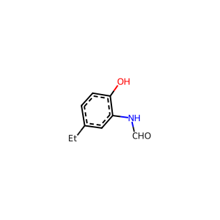 CCc1ccc(O)c(NC=O)c1